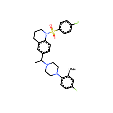 COc1cc(F)ccc1N1CCN(C(C)c2ccc3c(c2)CCCN3S(=O)(=O)c2ccc(F)cc2)CC1